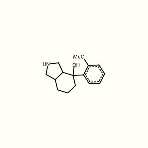 COc1ccccc1C1(O)CCCC2CNCC21